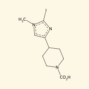 Cn1cc(C2CCN(C(=O)O)CC2)nc1I